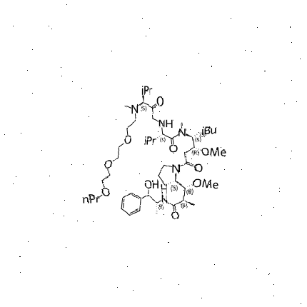 CCCOCCOCCOCCN(C)[C@H](C(=O)CN[C@H](C(=O)N(C)[C@@H]([C@@H](C)CC)[C@@H](CC(=O)N1CCC[C@H]1[C@H](OC)[C@@H](C)C(=O)N[C@H](C)C(O)c1ccccc1)OC)C(C)C)C(C)C